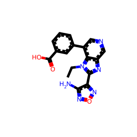 CCn1c(-c2nonc2N)nc2cncc(-c3cccc(C(=O)O)c3)c21